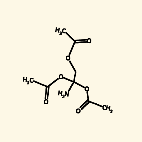 CC(=O)OCC(N)(OC(C)=O)OC(C)=O